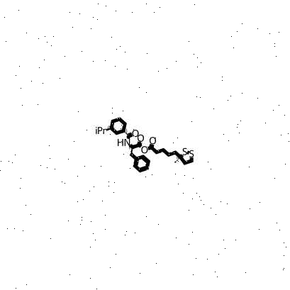 CC(C)[C@H]1CCC[C@H](C(=O)N[C@H](Cc2ccccc2)C(=O)OC(=O)CCCC[C@]2(C)CCSS2)C1